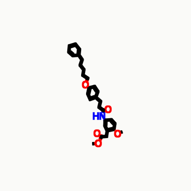 COC(=O)Cc1cc(NC(=O)CCc2ccc(OCCCCCc3ccccc3)cc2)ccc1OC